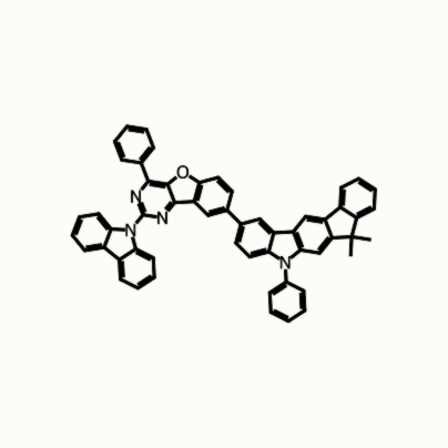 CC1(C)c2ccccc2-c2cc3c4cc(-c5ccc6oc7c(-c8ccccc8)nc(-n8c9ccccc9c9ccccc98)nc7c6c5)ccc4n(-c4ccccc4)c3cc21